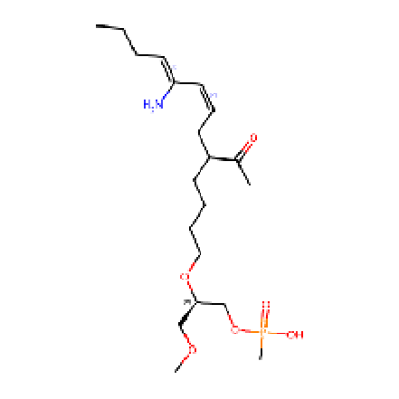 CCC/C=C(N)/C=C\CC(CCCCO[C@H](COC)COP(C)(=O)O)C(C)=O